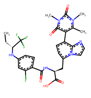 CC[C@@H](Nc1ccc(C(=O)N[C@@H](Cc2ccc(-c3c(C)n(C)c(=O)n(C)c3=O)c3nccn23)C(=O)O)c(F)c1)C(F)(F)F